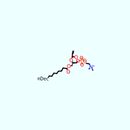 C=CC(=O)O[C@H](COC(=O)CCCCCCCCCCCCCCCCC)COP(=O)([O-])OCC[N+](C)(C)C